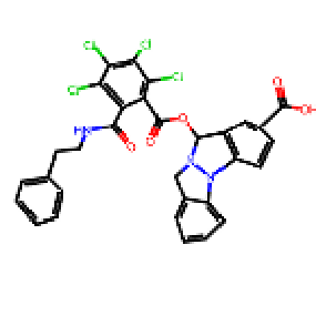 O=C(O)c1ccc2c(c1)C(OC(=O)c1c(Cl)c(Cl)c(Cl)c(Cl)c1C(=O)NCCc1ccccc1)N1Cc3ccccc3N21